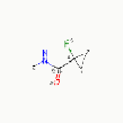 CNC(=O)C1(F)CC1